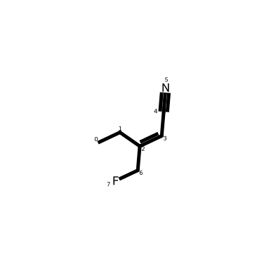 CC/C(=C\C#N)CF